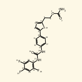 NC(=O)OCCc1ncc(-c2ccc(NC(=O)Nc3cc(F)c(F)cc3F)cc2)s1